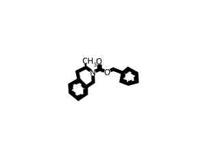 C[C@@H]1Cc2ccccc2CN1C(=O)OCc1ccccc1